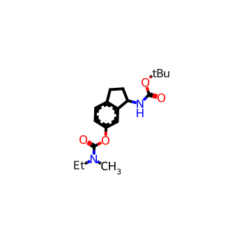 CCN(C)C(=O)Oc1ccc2c(c1)C(NC(=O)OC(C)(C)C)CC2